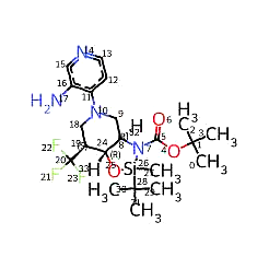 CC(C)(C)OC(=O)N1[C@@H]2CN(c3ccncc3N)C[C@H](C(F)(F)F)[C@H]2O[Si]1(C)C(C)(C)C